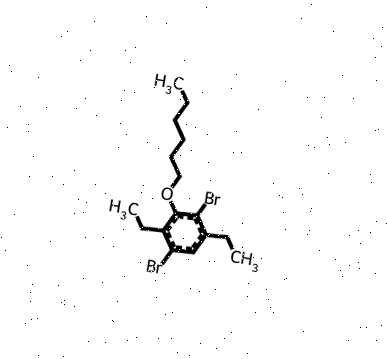 CCCCCCOc1c(Br)c(CC)cc(Br)c1CC